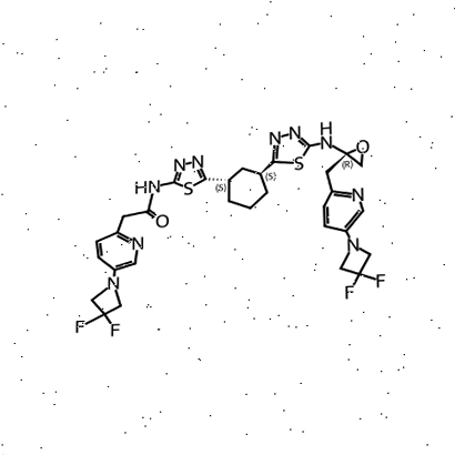 O=C(Cc1ccc(N2CC(F)(F)C2)cn1)Nc1nnc([C@H]2CCC[C@H](c3nnc(N[C@@]4(Cc5ccc(N6CC(F)(F)C6)cn5)CO4)s3)C2)s1